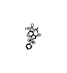 CC(C)n1c(=O)[nH]c2cnc3c(c(Br)cn3S(=O)(=O)c3ccccc3)c21